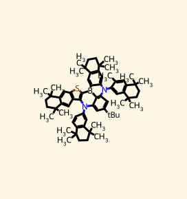 Cc1cc2c(cc1N1c3cc4c(cc3B3c5sc6cc7c(cc6c5N(c5ccc6c(c5)C(C)(C)CCC6(C)C)c5cc(C(C)(C)C)cc1c53)C(C)(C)CCC7(C)C)C(C)(C)CCC4(C)C)C(C)(C)CCC2(C)C